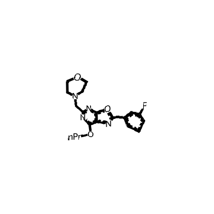 CCCOc1nc(CN2CCOCC2)nc2oc(-c3cccc(F)c3)nc12